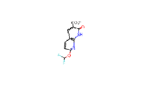 O=C(O)c1cc2ccc(OC(F)F)nc2[nH]c1=O